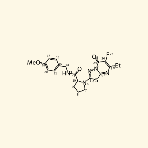 CCc1nc2sc(N3CCCC3C(=O)NCc3ccc(OC)cc3)nn2c(=O)c1F